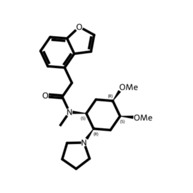 CO[C@H]1C[C@@H](N2CCCC2)[C@@H](N(C)C(=O)Cc2cccc3occc23)C[C@H]1OC